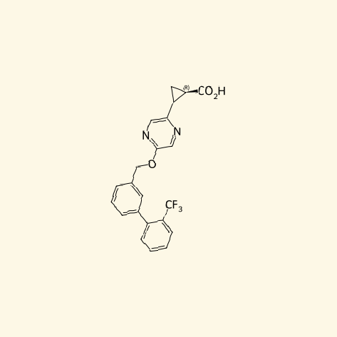 O=C(O)[C@@H]1CC1c1cnc(OCc2cccc(-c3ccccc3C(F)(F)F)c2)cn1